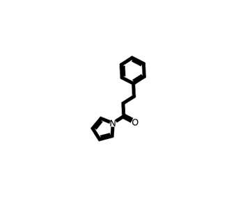 O=C(CCc1ccccc1)n1cccc1